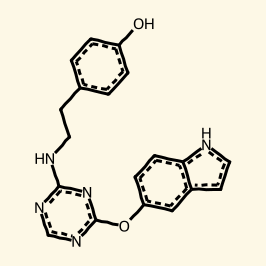 Oc1ccc(CCNc2ncnc(Oc3ccc4[nH]ccc4c3)n2)cc1